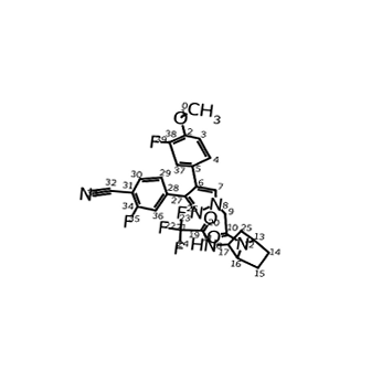 COc1ccc(-c2cn(CC(=O)N3C4CCC3C(NC(=O)C(F)(F)F)C4)nc2-c2ccc(C#N)c(F)c2)cc1F